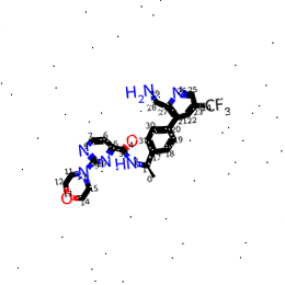 C[C@@H](NC(=O)c1ccnc(N2CCOCC2)n1)c1ccc(-c2cc(C(F)(F)F)cnc2CN)cc1